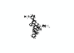 CC[C@H](CCCN)n1c(=O)c(-c2ccc(-c3cncc(C)n3)cc2Cl)cc2cnc(NC3CCCCC3)nc21